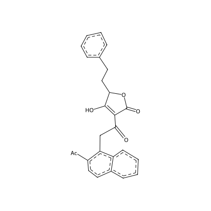 CC(=O)c1ccc2ccccc2c1CC(=O)C1=C(O)C(CCc2ccccc2)OC1=O